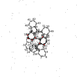 c1ccc(-n2c3ccccc3c3cccc(-c4ccccc4-c4ccccc4-c4ccccc4-c4cccc5c6ccccc6n(-c6ccccc6)c45)c32)cc1